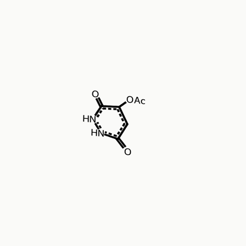 CC(=O)Oc1cc(=O)[nH][nH]c1=O